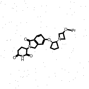 CC(C)OC1CN([C@@H]2CCC[C@H]2Oc2ccc3c(c2)CN(C2CCC(=O)NC2=O)C3=O)C1